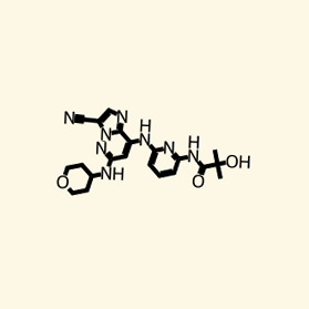 CC(C)(O)C(=O)Nc1cccc(Nc2cc(NC3CCOCC3)nn3c(C#N)cnc23)n1